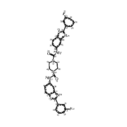 O=C(Nc1ccc2sc(-c3cccc(F)c3)nc2c1)N1CCN(C(=O)Nc2ccc3sc(-c4cccc(F)c4)nc3c2)CC1